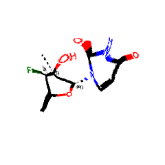 C=C1O[C@@H](n2ccc(=O)[nH]c2=O)[C@](C)(O)[C@@H]1F